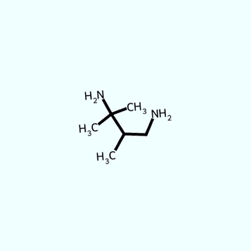 CC(CN)C(C)(C)N